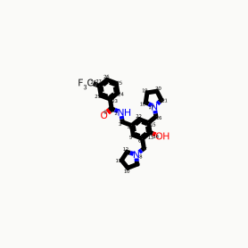 O=C(NCc1cc(CN2CCCC2)c(O)c(CN2CCCC2)c1)c1cccc(C(F)(F)F)c1